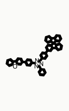 c1ccc(-c2nc(-c3ccc(-c4ccc5c(c4)-c4ccccc4C54c5ccccc5-c5ccccc54)cc3)nc(-c3ccc(-c4ccc5c(c4)oc4ccccc45)cc3)n2)cc1